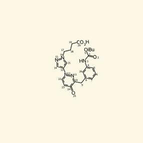 CC(C)COC(=O)Nc1cccc(Cc2nn(-c3cnn(CCCC(=O)O)c3)ccc2=O)c1